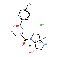 CC(C)C[C@H](NC(=O)c1ccc(C(C)(C)C)cc1)C(=O)N1CC[C@H]2NC[C@H](O)[C@H]21.Cl